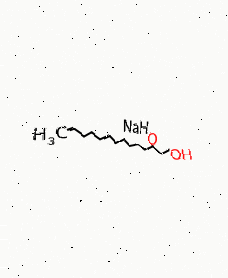 CCCCCCCCCCCC(=O)CCO.[NaH]